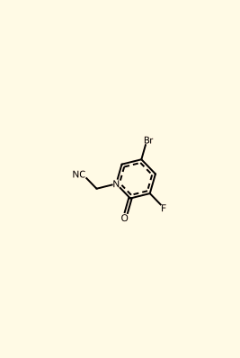 N#CCn1cc(Br)cc(F)c1=O